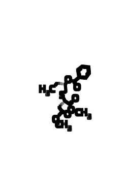 CC[C@@H](CS[C@@H](CC(=O)OC)C(=O)OC)OC(=O)c1ccccc1